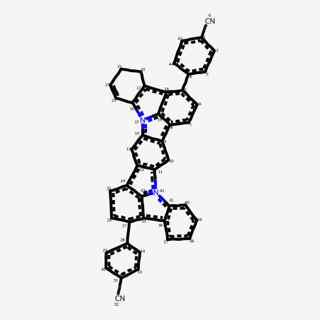 N#Cc1ccc(-c2ccc3c4cc5c(cc4n4c6c(c2c34)CCC=C6)c2ccc(-c3ccc(C#N)cc3)c3c4ccccc4n5c23)cc1